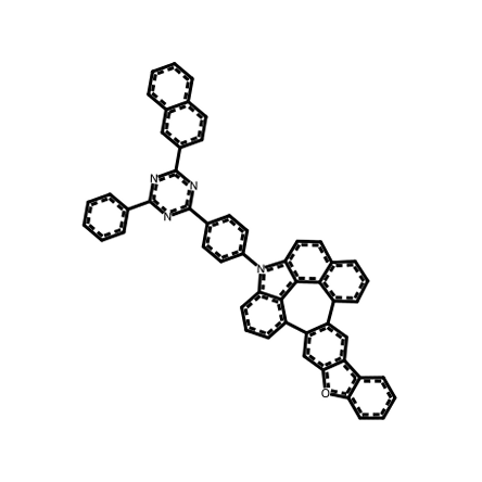 c1ccc(-c2nc(-c3ccc(-n4c5cccc6c5c5c7c(cccc7ccc54)-c4cc5c(cc4-6)oc4ccccc45)cc3)nc(-c3ccc4ccccc4c3)n2)cc1